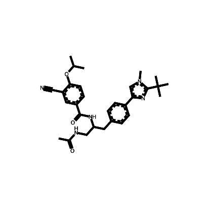 CC(=O)NCC(Cc1ccc(-c2cn(C)c(C(C)(C)C)n2)cc1)NC(=O)c1ccc(OC(C)C)c(C#N)c1